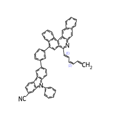 C=C/C=C\C=C\c1nc2cc3ccccc3cc2c2c1cc(-c1cccc(-c3ccc4c(c3)c3ccc(C#N)cc3n4-c3ccccc3)c1)c1ccccc12